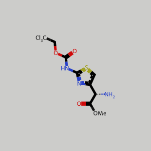 COC(=O)[C@@H](N)c1csc(NC(=O)OCC(Cl)(Cl)Cl)n1